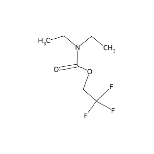 CCN(CC)C(=O)OCC(F)(F)F